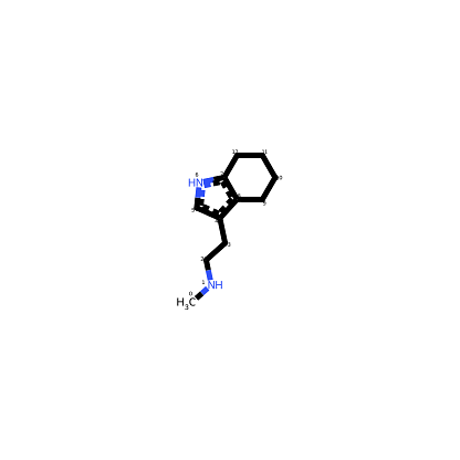 CNCCc1c[nH]c2c1CCCC2